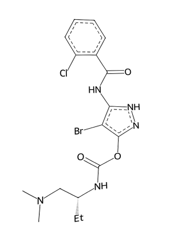 CC[C@H](CN(C)C)NC(=O)Oc1n[nH]c(NC(=O)c2ccccc2Cl)c1Br